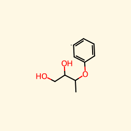 CC(Oc1c[c]ccc1)C(O)CO